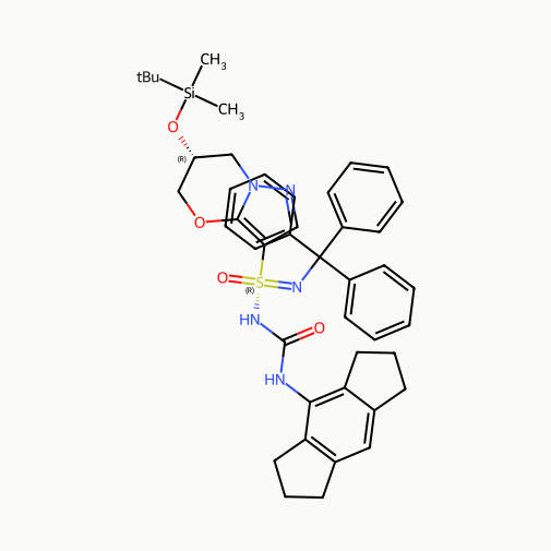 CC(C)(C)[Si](C)(C)O[C@H]1COc2c([S@](=O)(=NC(c3ccccc3)(c3ccccc3)c3ccccc3)NC(=O)Nc3c4c(cc5c3CCC5)CCC4)cnn2C1